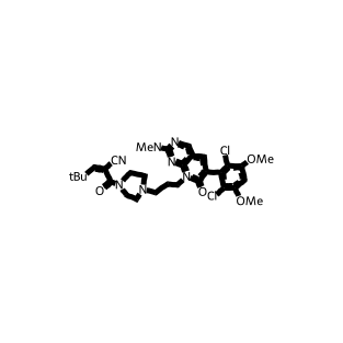 CNc1ncc2cc(-c3c(Cl)c(OC)cc(OC)c3Cl)c(=O)n(CCCN3CCN(C(=O)/C(C#N)=C\C(C)(C)C)CC3)c2n1